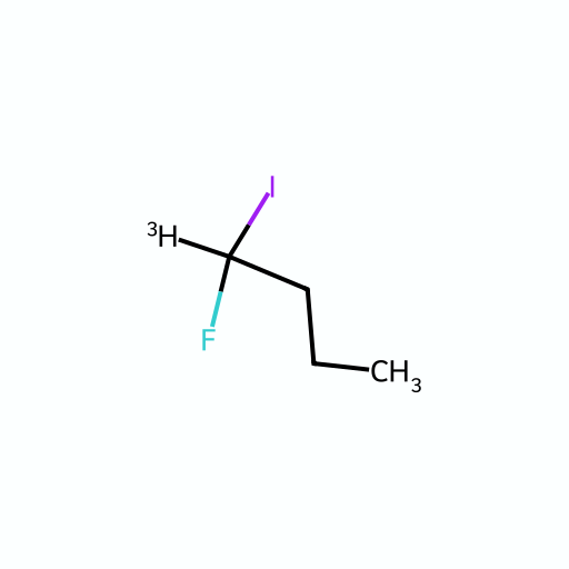 [3H]C(F)(I)CCC